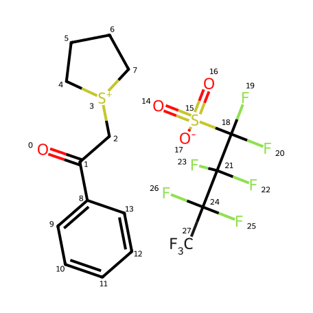 O=C(C[S+]1CCCC1)c1ccccc1.O=S(=O)([O-])C(F)(F)C(F)(F)C(F)(F)C(F)(F)F